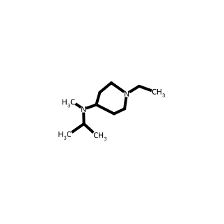 CCN1CCC(N(C)C(C)C)CC1